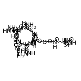 CC(C)C[C@H]1NC(=O)[C@@H](CCCNC(=N)N)NC(=O)[C@@H](Cc2ccccc2)NC(=O)[C@@H](CCc2c[nH]cn2)NC(=O)[C@@H](CCCNC(=N)N)NC(=O)[C@@H](NC(=O)COCCOCCOCCNC(=O)CCCC[C@@H]2SC[C@@H]3NC(=O)N[C@@H]32)Cc2cn(nn2)CCCC[C@@H](C(N)=O)NC1=O